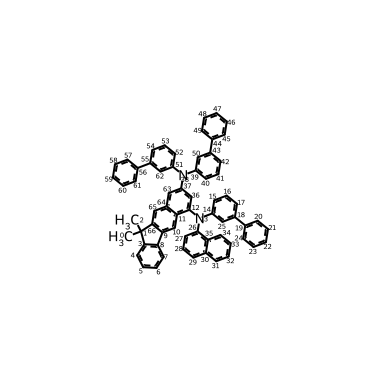 CC1(C)c2ccccc2-c2cc3c(N(c4cccc(-c5ccccc5)c4)c4cccc5ccccc45)cc(N(c4cccc(-c5ccccc5)c4)c4cccc(-c5ccccc5)c4)cc3cc21